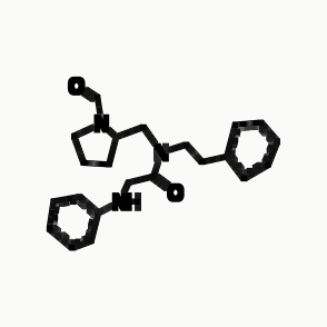 O=CN1CCCC1CN(CCc1ccccc1)C(=O)CNc1ccccc1